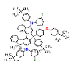 CC(C)(C)c1ccc(Oc2ccc(C3(c4ccc(C(C)(C)C)cc4)c4cc(N(c5ccc(C(C)(C)C)cc5)c5cccc(F)c5)c5c(c4-c4c3cc(N(c3ccc(C(C)(C)C)cc3)c3cccc(F)c3)c3ccccc43)-c3ccccc3C5(C)C)cc2)cc1